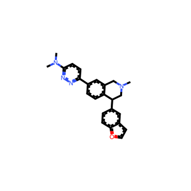 CN1Cc2cc(-c3ccc(N(C)C)nn3)ccc2C(c2ccc3occc3c2)C1